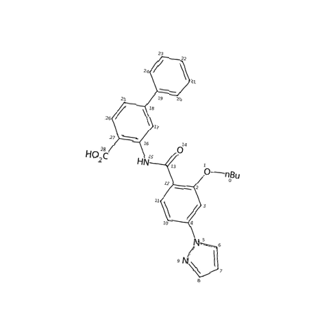 CCCCOc1cc(-n2cccn2)ccc1C(=O)Nc1cc(-c2ccccc2)ccc1C(=O)O